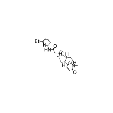 CCc1cccc(NC(=O)C[C@H]2CC[C@H]3[C@@H]4CC[C@H]5N(C)C(=O)C=C[C@]5(C)[C@H]4CC[C@]23C)n1